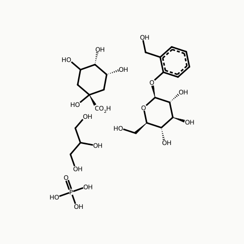 O=C(O)[C@@]1(O)CC(O)[C@H](O)[C@H](O)C1.O=P(O)(O)O.OCC(O)CO.OCc1ccccc1O[C@@H]1O[C@H](CO)[C@@H](O)[C@H](O)[C@H]1O